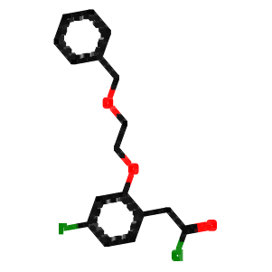 O=C(Cl)Cc1ccc(F)cc1OCCOCc1ccccc1